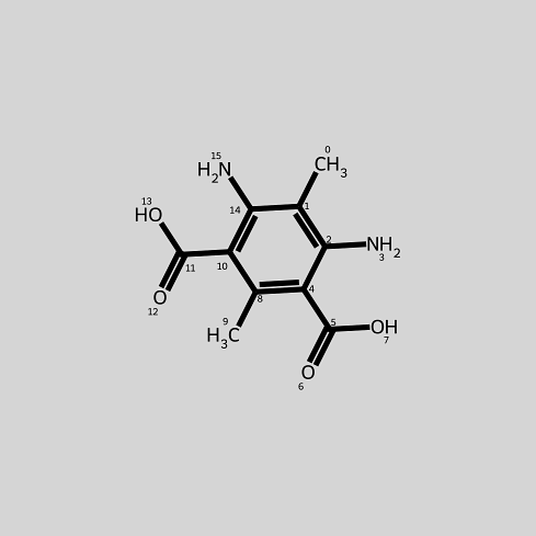 Cc1c(N)c(C(=O)O)c(C)c(C(=O)O)c1N